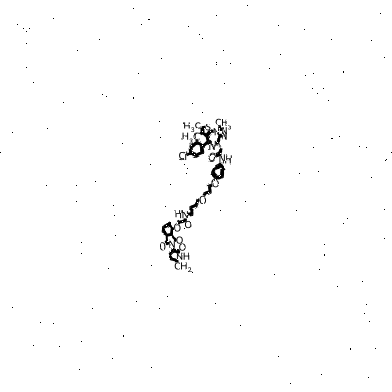 C=C1CCC(N2C(=O)c3cccc(OCC(=O)NCCCCOCCCOc4ccc(NC(=O)C[C@@H]5N=C(c6ccc(Cl)cc6)c6c(sc(C)c6C)-n6c(C)nnc65)cc4)c3C2=O)C(=O)N1